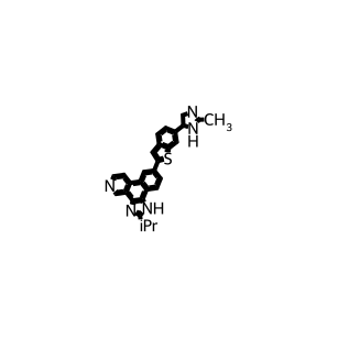 CC1=NCC(c2ccc3cc(-c4ccc5c(c4)c4ccncc4c4nc(C(C)C)[nH]c54)sc3c2)N1